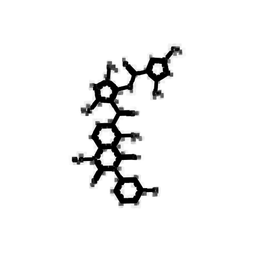 Cc1nn(C)cc1C(=O)Oc1c(C(=O)c2ccc3c(c2C)c(=O)n(-c2cccc(Cl)c2)c(=O)n3C)c(C)nn1C